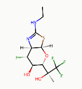 CCNC1=N[C@@H]2[C@@H](F)[C@H](O)[C@@H]([C@](C)(O)C(F)(F)F)O[C@@H]2S1